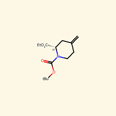 C=C1CCN(C(=O)OC(C)(C)C)[C@H](C(=O)OCC)C1